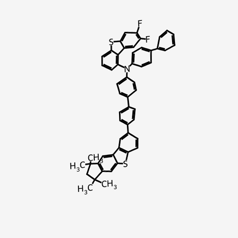 CC1(C)CC(C)(C)c2cc3c(cc21)sc1ccc(-c2ccc(-c4ccc(N(c5ccc(-c6ccccc6)cc5)c5cccc6sc7cc(F)c(F)cc7c56)cc4)cc2)cc13